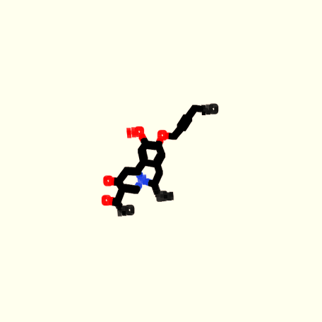 CC(C)(C)C1Cc2cc(OCC#CCN=O)c(O)cc2-c2cc(=O)c(C(=O)N=O)cn21